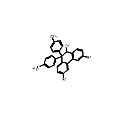 Cc1ccc(C2(c3ccc(C)cc3)c3ccc(Br)cc3-c3cc(Br)ccc3C2O)cc1